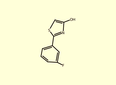 Oc1[c]sc(-c2cccc(F)c2)n1